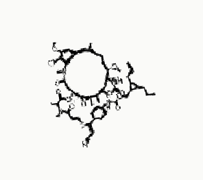 CCCC1C(CCC)C1COC(=O)Nc1ccc(/C(=C/C#N)SCCC(=O)N(C)[C@@H](C)C(=O)O[C@H]2CC(=O)N(C)c3cc(cc(OC)c3Cl)C/C(C)=C/C=C/[C@@H](OC)[C@@]3(O)C[C@H](OC(=O)N3)C(C)[C@@H]3O[C@@]23C)cc1